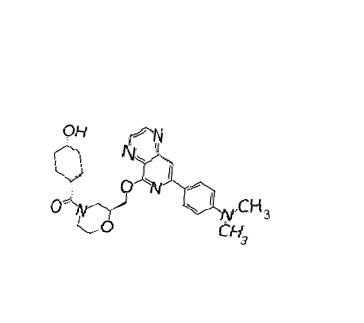 CN(C)c1ccc(-c2cc3nccnc3c(OC[C@@H]3CN(C(=O)[C@H]4CC[C@@H](O)CC4)CCO3)n2)cc1